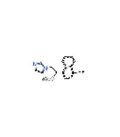 COC(Cn1ccnc1)c1ccc(C(C)C)c2ccccc12